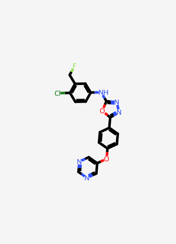 FCc1cc(Nc2nnc(-c3ccc(Oc4cncnc4)cc3)o2)ccc1Cl